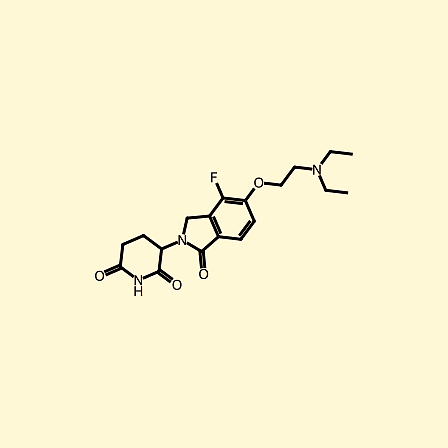 CCN(CC)CCOc1ccc2c(c1F)CN(C1CCC(=O)NC1=O)C2=O